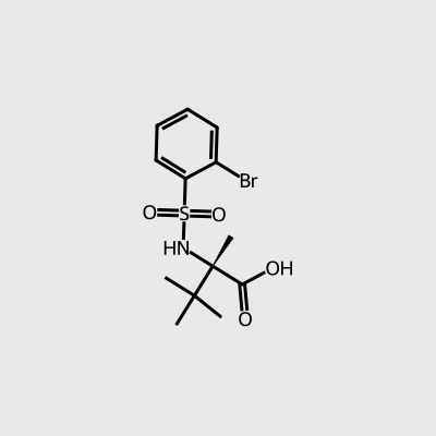 CC(C)(C)[C@](C)(NS(=O)(=O)c1ccccc1Br)C(=O)O